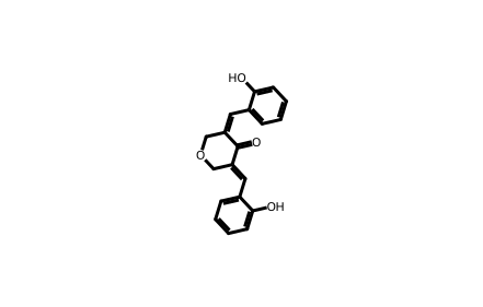 O=C1C(=Cc2ccccc2O)COCC1=Cc1ccccc1O